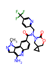 Cn1ncc2c(N)nc3ccc(C(=O)N(Cc4ccc(C(F)(F)F)cn4)N4CC5(CC5)COC4=O)cc3c21